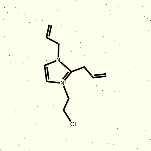 C=CCc1n(CC=C)cc[n+]1CCO